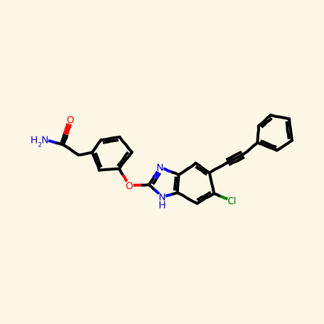 NC(=O)Cc1cccc(Oc2nc3cc(C#Cc4ccccc4)c(Cl)cc3[nH]2)c1